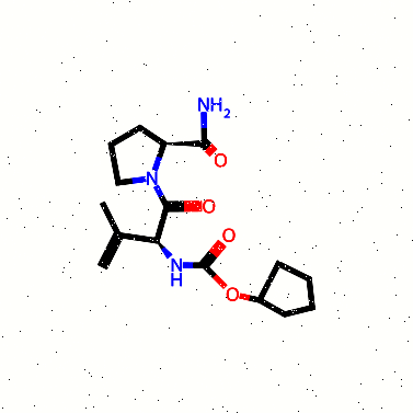 C=C(C)[C@H](NC(=O)OC1CCCC1)C(=O)N1CCC[C@H]1C(N)=O